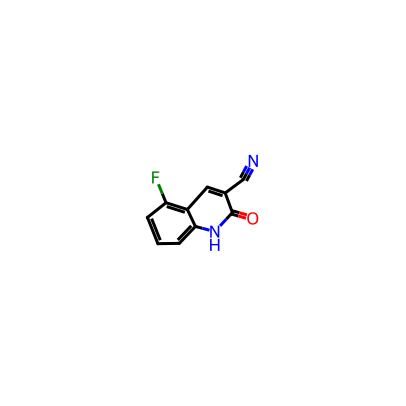 N#Cc1cc2c(F)cccc2[nH]c1=O